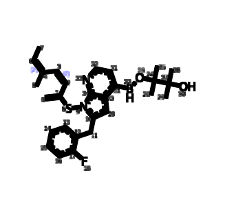 C=C(/C=C\C(C)=C/C)Sn1c(Cc2ccccc2F)cc2c(BOC(C)(C)C(C)(C)O)ccnc21